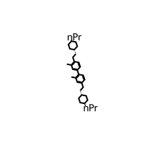 CCC[C@H]1CC[C@H](CCc2ccc(-c3ccc(CC[C@H]4CC[C@H](CCC)CC4)c(C)c3)c(C)c2)CC1